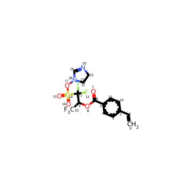 C=Cc1ccc(C(=O)OC(C(F)(F)F)C(F)(F)S(=O)(=O)ON2C=NCC2)cc1